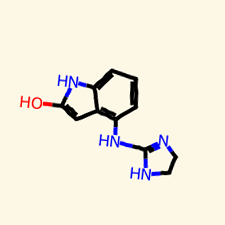 Oc1cc2c(NC3=NCCN3)cccc2[nH]1